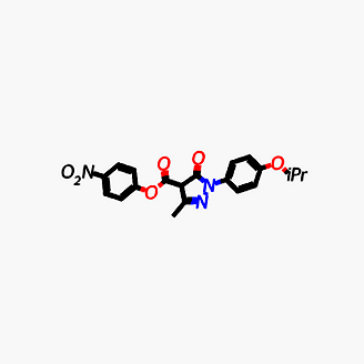 CC1=NN(c2ccc(OC(C)C)cc2)C(=O)C1C(=O)Oc1ccc([N+](=O)[O-])cc1